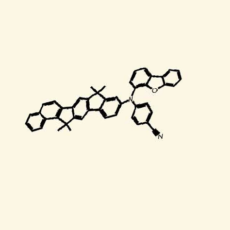 CC1(C)c2cc(N(c3ccc(C#N)cc3)c3cccc4c3oc3ccccc34)ccc2-c2cc3c(cc21)-c1ccc2ccccc2c1C3(C)C